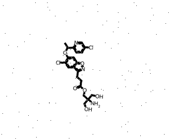 CC(Oc1cc2onc(CCC(=O)OCC(N)(CO)CO)c2cc1Cl)c1ccc(Cl)cn1